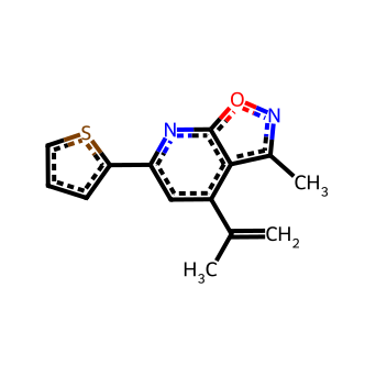 C=C(C)c1cc(-c2cccs2)nc2onc(C)c12